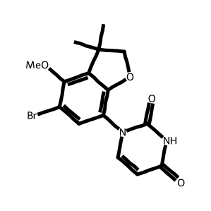 COc1c(Br)cc(-n2ccc(=O)[nH]c2=O)c2c1C(C)(C)CO2